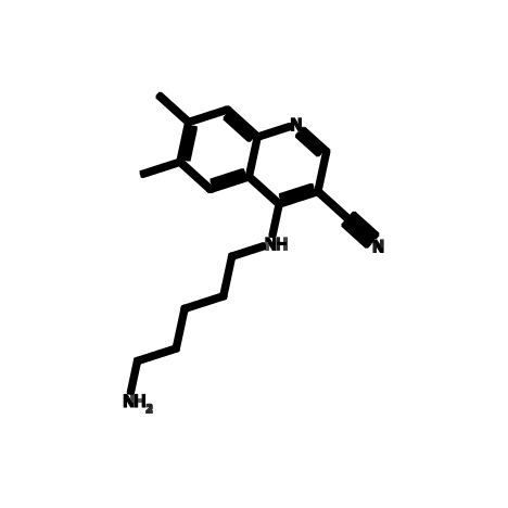 Cc1cc2ncc(C#N)c(NCCCCCN)c2cc1C